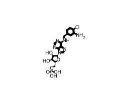 Nc1cc(CNc2ncnc3c2ncn3[C@@H]2O[C@H](COP(=O)(O)O)[C@@H](O)[C@H]2O)ccc1Cl